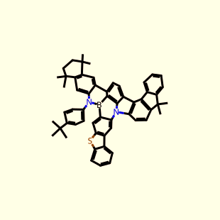 CC(C)(C)c1ccc(N2B3c4cc5sc6ccccc6c5cc4-n4c5ccc6c(c5c5ccc(c3c54)-c3cc4c(cc32)C(C)(C)CCC4(C)C)-c2ccccc2C6(C)C)cc1